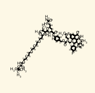 COCCN(CN1c2cc(F)cc3c(=O)[nH]nc(c23)[C@H](c2ncnn2C)[C@H]1c1ccc(F)cc1)C(=O)OCc1ccc(NC(=O)[C@H](CCCNC(N)=O)NC(=O)[C@@H](NC(=O)CCOCCOCCOCCOCCONC(=O)OC(C)(C)C)C(C)C)cc1